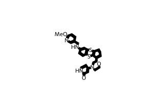 COc1ccc(CNc2ccc3c(c2)Sc2cccc(C4CN(c5cc[nH]c(=O)c5)CCO4)c2S3)cn1